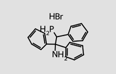 Br.NC(c1ccccc1)(c1ccccc1)C(P)c1ccccc1